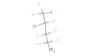 FC(F)(F)C(F)(F)C(F)(F)C(F)(Cl)C(F)(F)I